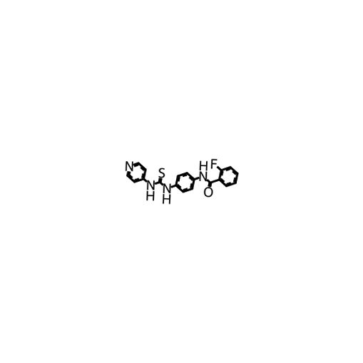 O=C(Nc1ccc(NC(=S)Nc2ccncc2)cc1)c1ccccc1F